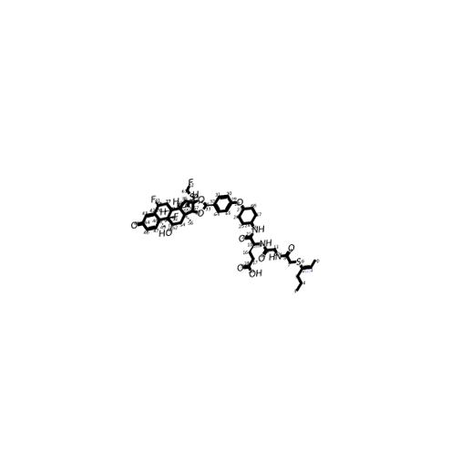 C/C=C(/CCC)SCC(=O)NCC(=O)N[C@@H](CCC(=O)O)C(=O)NC1CCC(Oc2ccc([C@@H]3O[C@@H]4C[C@H]5[C@@H]6C[C@H](F)C7=CC(=O)C=C[C@]7(C)[C@@]6(F)[C@@H](O)C[C@]5(C)[C@]4(C(=O)SCF)O3)cc2)CC1